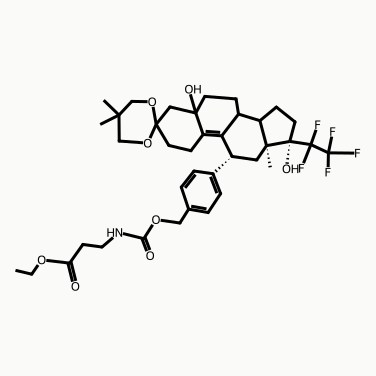 CCOC(=O)CCNC(=O)OCc1ccc([C@H]2C[C@@]3(C)C(CC[C@@]3(O)C(F)(F)C(F)(F)F)C3CCC4(O)CC5(CCC4=C32)OCC(C)(C)CO5)cc1